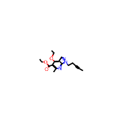 CC#CCCn1ncc2c(OCC)c(C(=O)OCC)c(C)nc21